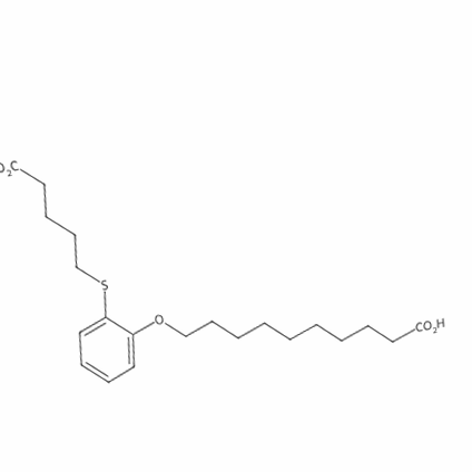 O=C(O)CCCCCCCCCOc1ccccc1SCCCCC(=O)O